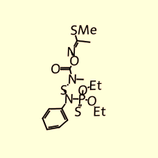 CCOP(=S)(OCC)N(SN(C)C(=O)ON=C(C)SC)c1ccccc1